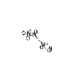 O=C(C=Cc1cccnc1)NCCCCCCNC(=O)C1CCCN(C(c2ccccc2)c2ccccc2)C1